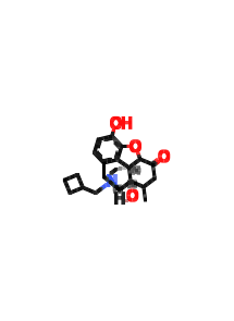 CO[C@@]12C(C)CC(=O)C3Oc4c(O)ccc5c4[C@@]31CCN(CC1CCC1)[C@@H]2C5